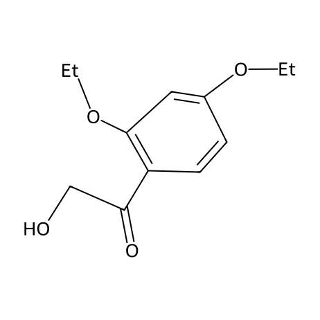 CCOc1ccc(C(=O)CO)c(OCC)c1